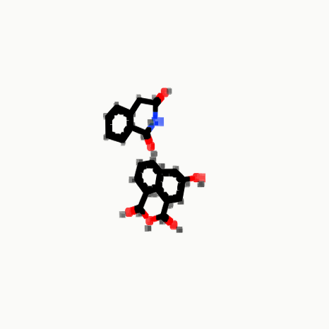 O=C1Cc2ccccc2C(=O)N1.O=C1OC(=O)c2cc(O)cc3cccc1c23